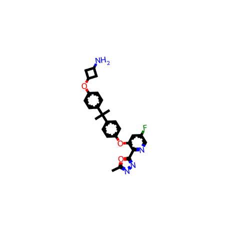 Cc1nnc(-c2ncc(F)cc2Oc2ccc(C(C)(C)c3ccc(OC4CC(N)C4)cc3)cc2)o1